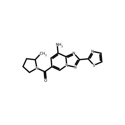 CC1CCCN1C(=O)c1cc(N)c2nc(-c3nccs3)nn2c1